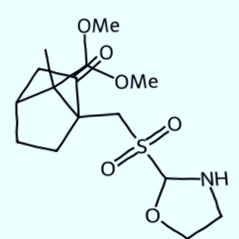 COC(OC)C1(C)C2CCC1(CS(=O)(=O)C1NCCO1)C(=O)C2